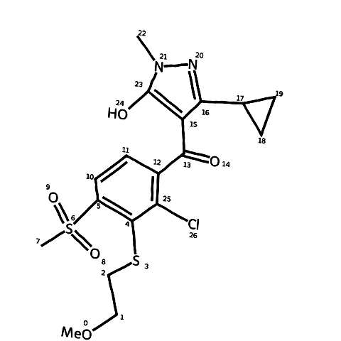 COCCSc1c(S(C)(=O)=O)ccc(C(=O)c2c(C3CC3)nn(C)c2O)c1Cl